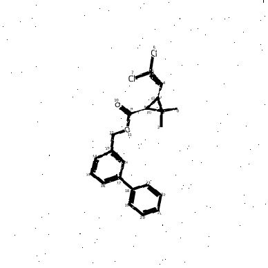 CC1(C)[C@H](C=C(Cl)Cl)[C@@H]1C(=O)OCc1cccc(-c2ccccc2)c1